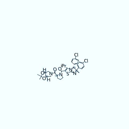 CC(C)C1=C(C(=O)N2CCC[C@H]2C(=O)N2C[C@@H]3OC(C)(C)O[C@@H]3C2)SC2=N[C@@](C)(c3ccc(Cl)cc3)[C@@H](c3ccc(Cl)cc3)N21